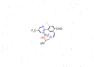 CCCC(O)CN(C)/C=C\c1cc(-c2ncc(C(F)(F)F)cn2)c(F)cc1C=O